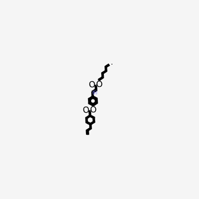 [CH2]CCCCCOC(=O)/C=C/c1ccc(OC(=O)C2CCC(CC=C)CC2)cc1